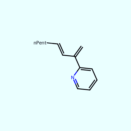 C=C(C=CCCCCC)c1ccccn1